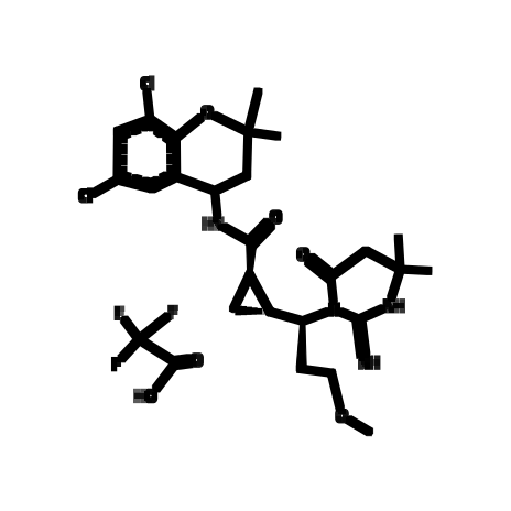 COCC[C@@H]([C@@H]1C[C@H]1C(=O)NC1CC(C)(C)Oc2c(Cl)cc(Cl)cc21)N1C(=N)NC(C)(C)CC1=O.O=C(O)C(F)(F)F